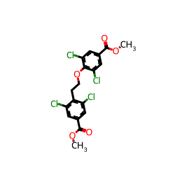 COC(=O)c1cc(Cl)c(CCOc2c(Cl)cc(C(=O)OC)cc2Cl)c(Cl)c1